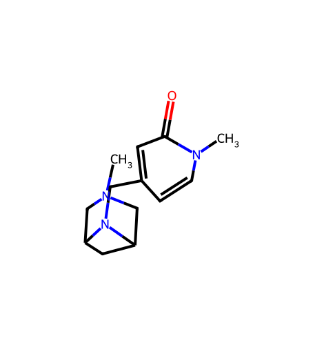 CN1CC2CC(C1)N2Cc1ccn(C)c(=O)c1